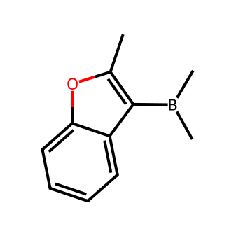 CB(C)c1c(C)oc2ccccc12